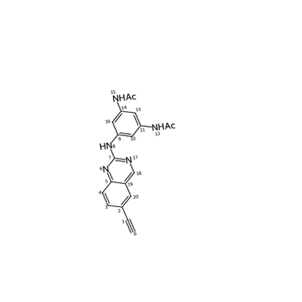 C#Cc1ccc2nc(Nc3cc(NC(C)=O)cc(NC(C)=O)c3)ncc2c1